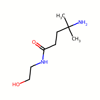 CC(C)(N)CCC(=O)NCCO